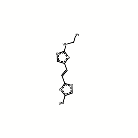 CC(C)CNc1ncc(C=Cc2ncc(C(C)(C)C)o2)s1